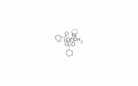 CC(C)N1C2CCC1C1C2CC(OC(=O)c2ccccc2)C1OC(=O)c1ccccc1